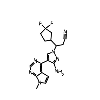 Cn1ccc2c(-c3cn(C(CC#N)C4CCC(F)(F)C4)nc3N)ncnc21